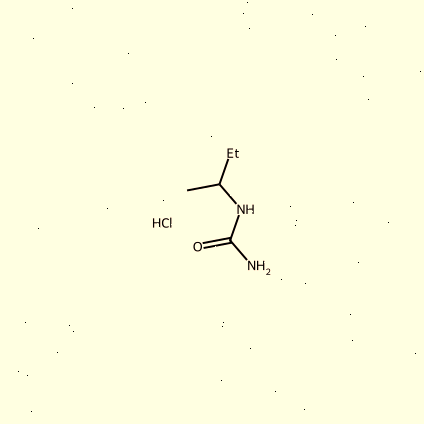 CCC(C)NC(N)=O.Cl